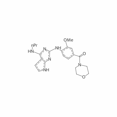 CCCNc1nc(Nc2ccc(C(=O)N3CCOCC3)cc2OC)nc2[nH]ccc12